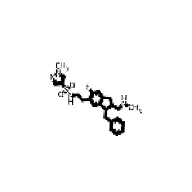 CNCC1Cc2cc(F)c(CCNS(=O)(=O)c3cnn(C)c3)cc2C1Cc1ccccc1